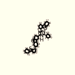 c1ccc(C2N=C(c3cccc4c3oc3ccccc34)N=C(c3ccc4oc5cc(-c6cccc7c6sc6ccccc67)ccc5c4c3)N2)cc1